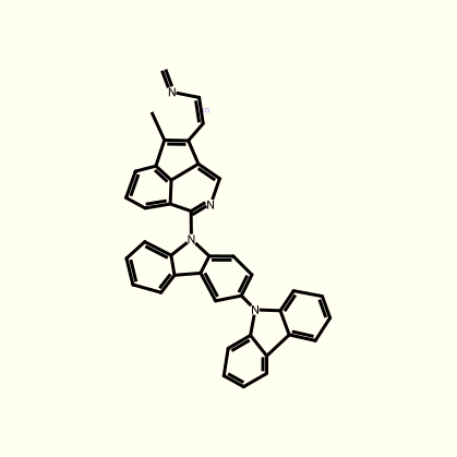 C=N/C=C\C1=C(C)c2cccc3c(-n4c5ccccc5c5cc(-n6c7ccccc7c7ccccc76)ccc54)ncc1c23